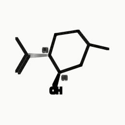 C=C(C)[C@@H]1CCC(C)C[C@H]1O